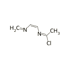 C=N/C=C\N=C(/C)Cl